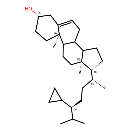 CC(C)[C@H](CC[C@@H](C)[C@H]1CCC2C3CC=C4C[C@@H](O)CC[C@]4(C)C3CC[C@@]21C)C1CC1